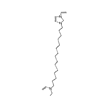 C=CN1C=CN(CCCCCCCCCCCCCCCN(C=C)CC)C1